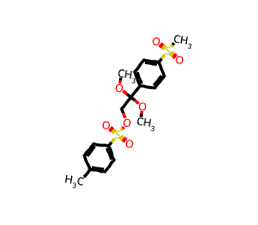 COC(COS(=O)(=O)c1ccc(C)cc1)(OC)c1ccc(S(C)(=O)=O)cc1